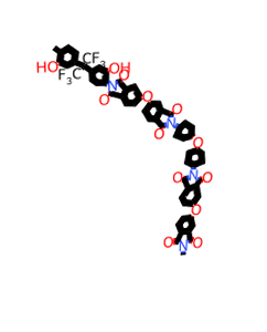 Cc1ccc(C(c2ccc(N3C(=O)c4ccc(Oc5ccc6c(c5)C(=O)N(c5ccc(Oc7ccc(N8C(=O)c9ccc(Oc%10ccc%11c(c%10)C(=O)N(C)C%11=O)cc9C8=O)cc7)cc5)C6=O)cc4C3=O)c(O)c2)(C(F)(F)F)C(F)(F)F)cc1O